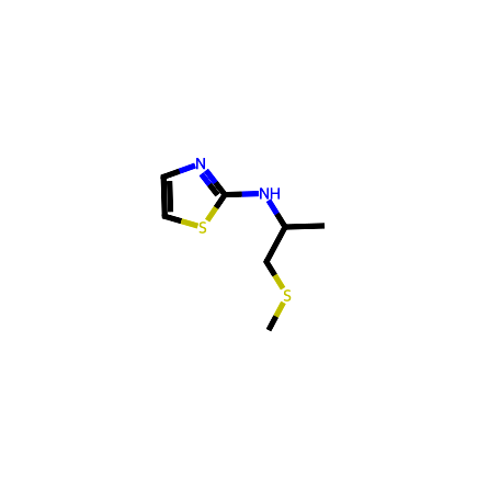 CSCC(C)Nc1nccs1